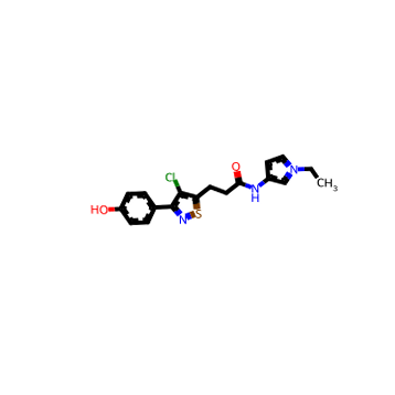 CCn1ccc(NC(=O)CCc2snc(-c3ccc(O)cc3)c2Cl)c1